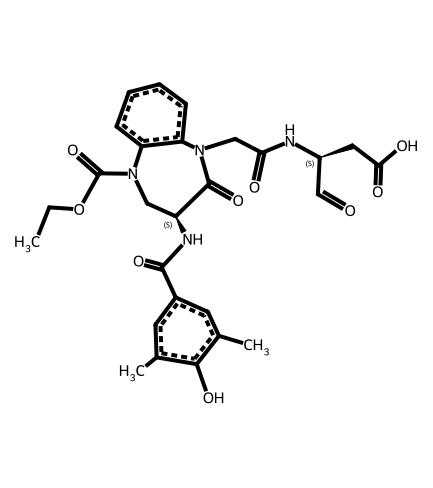 CCOC(=O)N1C[C@H](NC(=O)c2cc(C)c(O)c(C)c2)C(=O)N(CC(=O)N[C@H](C=O)CC(=O)O)c2ccccc21